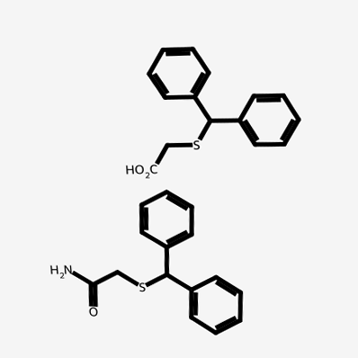 NC(=O)CSC(c1ccccc1)c1ccccc1.O=C(O)CSC(c1ccccc1)c1ccccc1